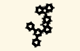 c1ccc(-c2nc(-c3ccccc3)nc(-c3cccc4c3sc3cc(-n5c6ccccc6c6ccccc65)ccc34)n2)cc1